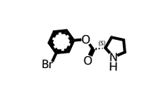 O=C(Oc1cccc(Br)c1)[C@@H]1CCCN1